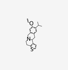 C=COc1cc2c(cc1C(C)C)CC1c3ccsc3CCN1C2